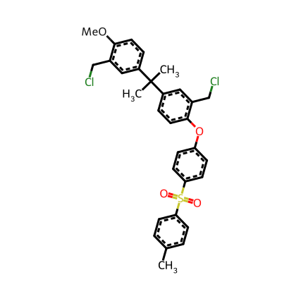 COc1ccc(C(C)(C)c2ccc(Oc3ccc(S(=O)(=O)c4ccc(C)cc4)cc3)c(CCl)c2)cc1CCl